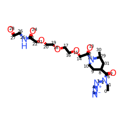 CCN(N=[N+]=[N-])C(=O)C1CCN(C(=O)COCCOCCOCC(=O)NCC=O)C(C)C1